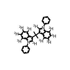 [2H]c1c([2H])c([2H])c2c(c1[2H])c(C(C)(C)c1c([2H])n(-c3ccccc3)c3c([2H])c([2H])c([2H])c([2H])c13)c([2H])n2-c1ccccc1